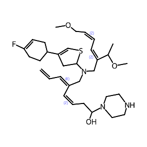 C=C/C=C(\C=C/CC(O)N1CCNCC1)CN(C/C(=C/C=C\COC)C(C)OC)C1CC(C2CC=C(F)CC2)=CS1